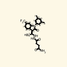 CCCC/C(NNC(=O)CCC(N)=O)=C1/C(=O)N(c2cc(C)cc(C)c2)c2cc(C(F)(F)F)ccc21